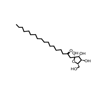 CCCCCCCCCCCCCCCCC(=O)C[C@]1(O)O[C@H](CO)[C@H](O)[C@H]1O